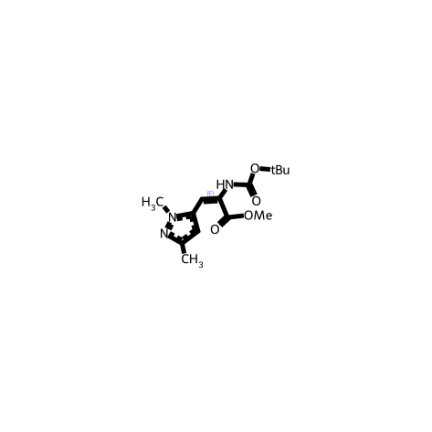 COC(=O)/C(=C\c1cc(C)nn1C)NC(=O)OC(C)(C)C